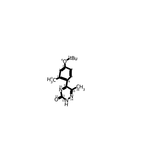 Cc1cc(OC(C)(C)C)ccc1-c1nc(=O)[nH]nc1C